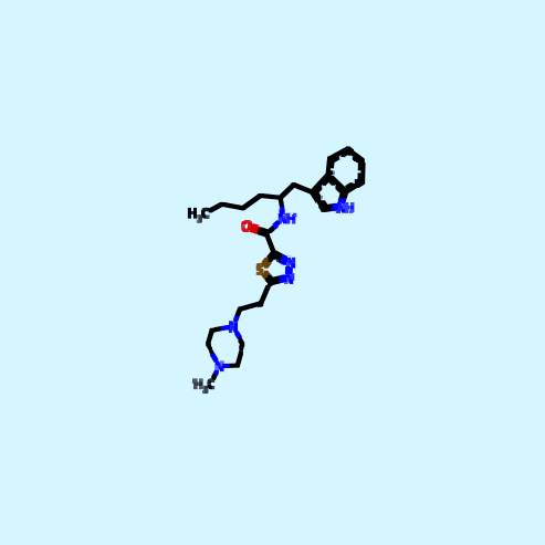 CCCCC(Cc1c[nH]c2ccccc12)NC(=O)c1nnc(CCN2CCN(C)CC2)s1